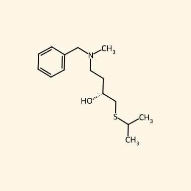 CC(C)SC[C@H](O)CCN(C)Cc1ccccc1